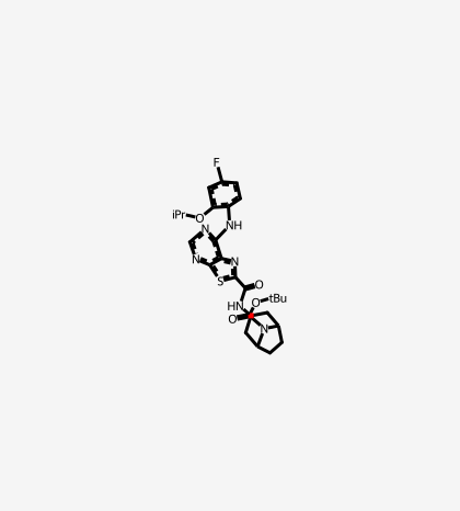 CC(C)Oc1cc(F)ccc1Nc1ncnc2sc(C(=O)NC3CC4CCC(C3)N4C(=O)OC(C)(C)C)nc12